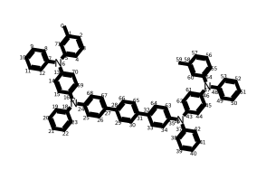 Cc1cccc(N(c2ccccc2)c2ccc(N(c3ccccc3)c3ccc(-c4ccc(-c5ccc(N(c6ccccc6)c6ccc(N(c7ccccc7)c7cccc(C)c7)cc6)cc5)cc4)cc3)cc2)c1